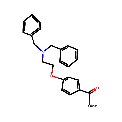 COC(=O)c1ccc(OCCN(Cc2ccccc2)Cc2ccccc2)cc1